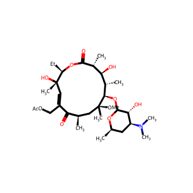 CC[C@H]1OC(=O)[C@H](C)[C@@H](O)[C@H](C)[C@@H](OC2O[C@H](C)C[C@H](N(C)C)[C@H]2O)[C@@](C)(OC)C[C@@H](C)C(=O)/C(COC(C)=O)=C/[C@]1(C)O